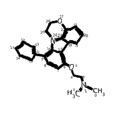 CN(C)CCOc1ccc(-c2ccccc2)c2c1c1cccc3c1n2CCO3